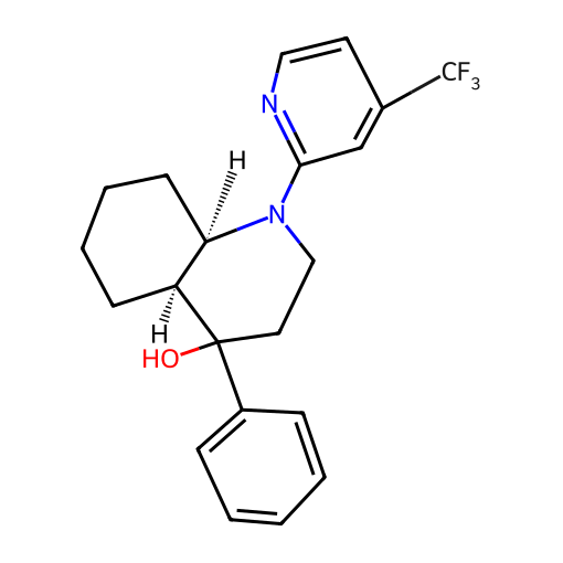 OC1(c2ccccc2)CCN(c2cc(C(F)(F)F)ccn2)[C@@H]2CCCC[C@@H]21